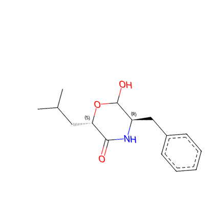 CC(C)C[C@@H]1OC(O)[C@@H](Cc2ccccc2)NC1=O